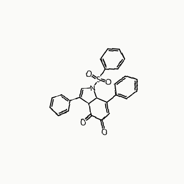 O=C1C=C(c2ccccc2)C2C(C1=O)C(c1ccccc1)=CN2S(=O)(=O)c1ccccc1